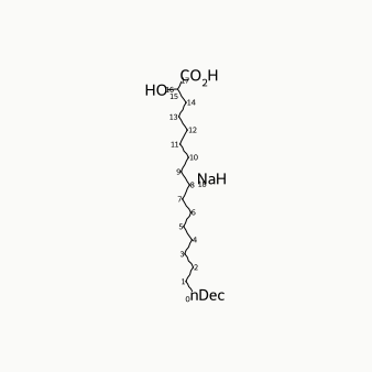 CCCCCCCCCCCCCCCCCCCCCCCCC(O)C(=O)O.[NaH]